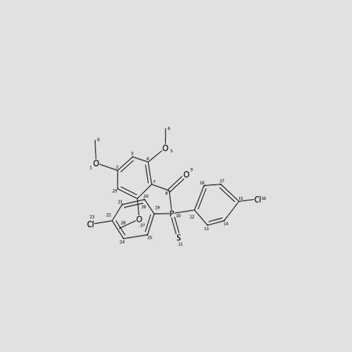 COc1cc(OC)c(C(=O)P(=S)(c2ccc(Cl)cc2)c2ccc(Cl)cc2)c(OC)c1